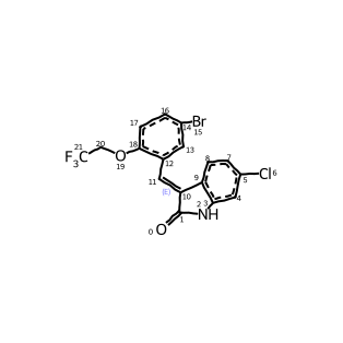 O=C1Nc2cc(Cl)ccc2/C1=C\c1cc(Br)ccc1OCC(F)(F)F